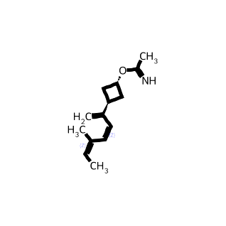 C=C(/C=C\C(C)=C/C)[C@H]1C[C@H](OC(C)=N)C1